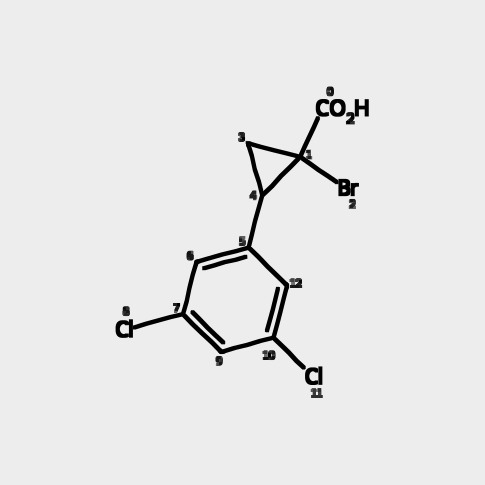 O=C(O)C1(Br)CC1c1cc(Cl)cc(Cl)c1